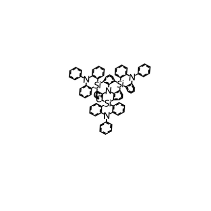 c1ccc(N2c3ccccc3[Si]3(c4ccccc42)c2cccc4c2N2c5c3cccc5[Si]3(c5ccccc5N(c5ccccc5)c5ccccc53)c3cccc(c32)[Si]42c3ccccc3N(c3ccccc3)c3ccccc32)cc1